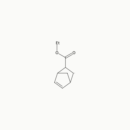 CCOC(=O)C1[CH]C2C=CC1C2